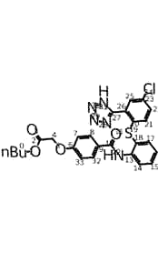 CCCCOC(=O)COc1ccc(C(=O)Nc2ccccc2Sc2ccc(Cl)cc2-c2nnn[nH]2)cc1